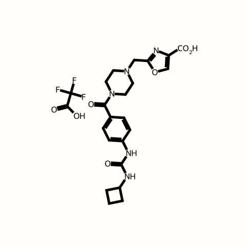 O=C(Nc1ccc(C(=O)N2CCN(Cc3nc(C(=O)O)co3)CC2)cc1)NC1CCC1.O=C(O)C(F)(F)F